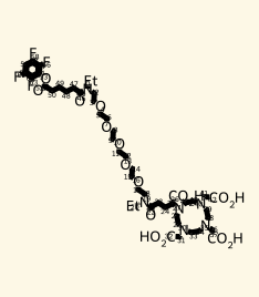 CCN(CCOCCOCCOCCOCCOCCN(CC)C(=O)CCC(C(=O)O)N1CCN(CC(=O)O)CCN(CC(=O)O)CCN(CC(=O)O)CC1)C(=O)CCCCC(=O)Oc1c(F)c(F)cc(F)c1F